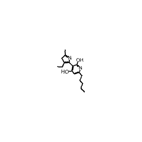 CCCCCc1cc(O)c(C2=C(CC)CC(C)=N2)c(O)n1